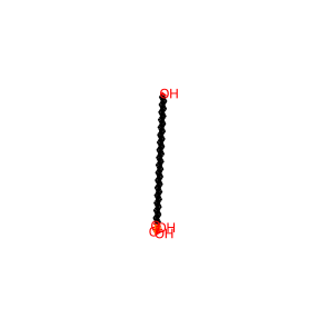 O=P(O)(O)OCCCCCCCCCCCCCCCCCCCCCCCCCCCCCCCCCCO